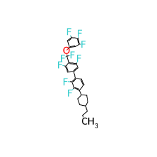 CCCC1CCC(c2ccc(-c3cc(F)c(C(F)(F)Oc4cc(F)c(F)c(F)c4)c(F)c3)c(F)c2F)CC1